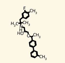 Cc1cccc(-c2ccc(C(C)OC[C@H](O)CNC(C)(C)Cc3ccc(C)c(F)c3)cc2)c1